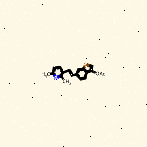 CC(=O)Oc1csc2cc(C=Cc3ccc(C)nc3C)ccc12